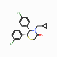 O=C1CS[C@@H](c2cccc(Cl)c2)[C@@H](c2ccc(Cl)cc2)N1CC1CC1